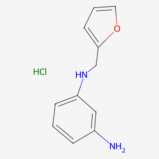 Cl.Nc1cccc(NCc2ccco2)c1